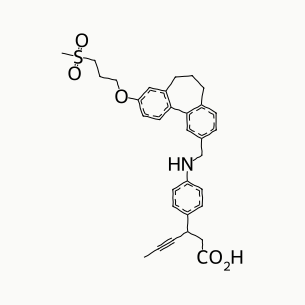 CC#CC(CC(=O)O)c1ccc(NCc2ccc3c(c2)-c2ccc(OCCCS(C)(=O)=O)cc2CCC3)cc1